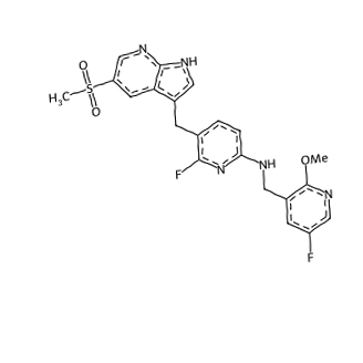 COc1ncc(F)cc1CNc1ccc(Cc2c[nH]c3ncc(S(C)(=O)=O)cc23)c(F)n1